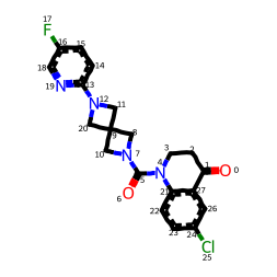 O=C1CCN(C(=O)N2CC3(C2)CN(c2ccc(F)cn2)C3)c2ccc(Cl)cc21